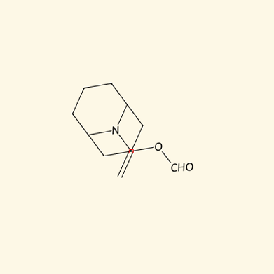 C=C(OC=O)N1C2CCCC1CCC2